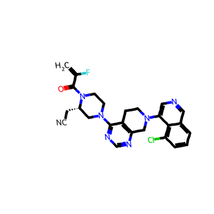 C=C(F)C(=O)N1CCN(c2ncnc3c2CCN(c2cncc4cccc(Cl)c24)C3)C[C@@H]1CC#N